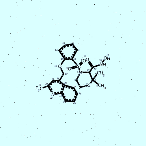 CC1(C)SCCN(S(=O)(=O)c2ccccc2OCc2cc(C(F)(F)F)nc3ccccc23)C1C(=O)NO